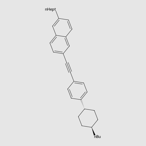 CCCCCCCc1ccc2cc(C#Cc3ccc([C@H]4CC[C@H](CCCC)CC4)cc3)ccc2c1